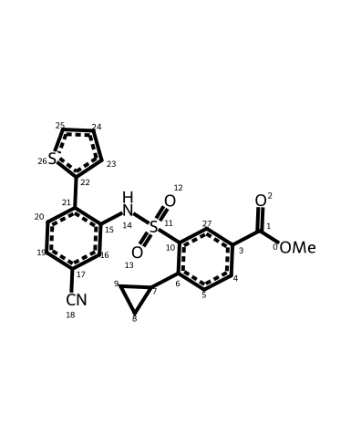 COC(=O)c1ccc(C2CC2)c(S(=O)(=O)Nc2cc(C#N)ccc2-c2cccs2)c1